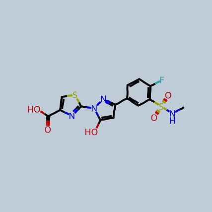 CNS(=O)(=O)c1cc(-c2cc(O)n(-c3nc(C(=O)O)cs3)n2)ccc1F